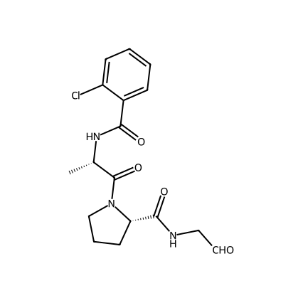 C[C@H](NC(=O)c1ccccc1Cl)C(=O)N1CCC[C@H]1C(=O)NCC=O